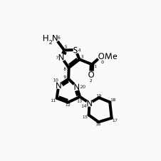 COC(=O)c1sc(N)nc1-c1nccc(N2CCCCC2)n1